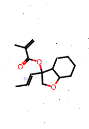 C=C(C)C(=O)OC1(/C=C/C)COC2CCCCC21